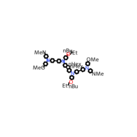 CCCCCCC1(CCCCCC)c2cc(N(c3ccc(OCC(CC)CCCC)cc3)c3ccc(-c4ccc(N(c5ccc(NC)cc5)c5ccc(OC)cc5)cc4)cc3)ccc2-c2ccc(N(c3ccc(OCC(CC)CCCC)cc3)c3ccc(-c4ccc(N(c5ccc(NC)cc5)c5ccc(OC)cc5)cc4)cc3)cc21